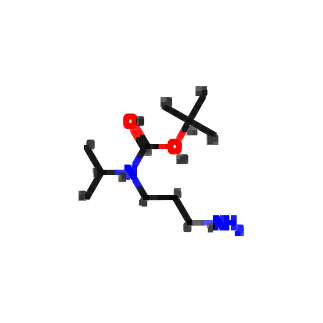 CC(C)N(CCCN)C(=O)OC(C)(C)C